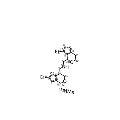 CCc1cc2c(s1)C(CNCC1OCCc3scc(CC)c31)CO[C@@H]2CNC